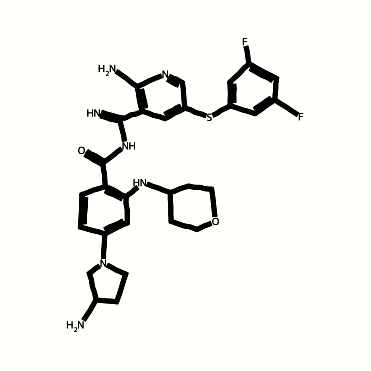 N=C(NC(=O)c1ccc(N2CCC(N)C2)cc1NC1CCOCC1)c1cc(Sc2cc(F)cc(F)c2)cnc1N